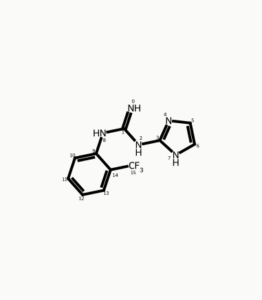 N=C(Nc1ncc[nH]1)Nc1ccccc1C(F)(F)F